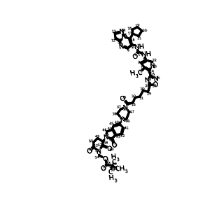 Cc1cc(NC(=O)Nc2cnc3ccnn3c2C2CCCC2)cnc1-c1noc(CCCCCC(=O)N2CCN(c3ccc4c(c3)CN(C3CCC(=O)N(COC(=O)C(C)(C)C)C3=O)C4=O)CC2)n1